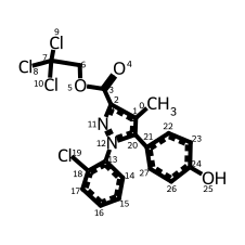 Cc1c(C(=O)OCC(Cl)(Cl)Cl)nn(-c2ccccc2Cl)c1-c1ccc(O)cc1